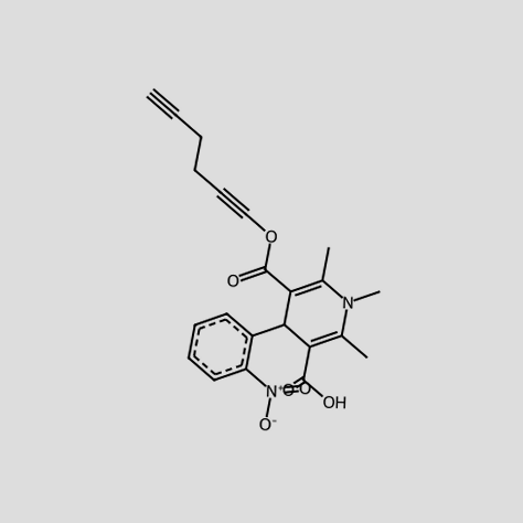 C#CCCC#COC(=O)C1=C(C)N(C)C(C)=C(C(=O)O)C1c1ccccc1[N+](=O)[O-]